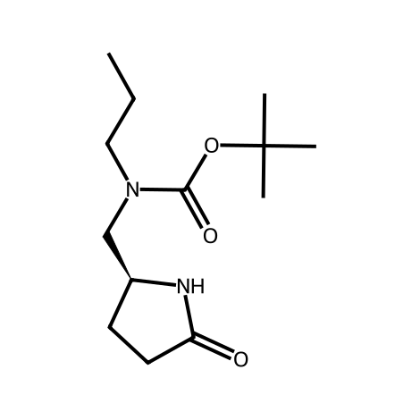 CCCN(C[C@@H]1CCC(=O)N1)C(=O)OC(C)(C)C